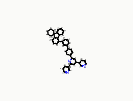 c1cncc(-c2cc(-c3ccc(-c4cccc(-c5cccc6c5-c5ccccc5C65CCCCC5)c4)cc3)nc(-c3cccnc3)c2)c1